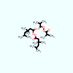 CC(C)C(=O)OOC(=O)C(C)C.CC(C)CC(C)(C)CC(=O)OOC(=O)CC(C)(C)CC(C)C